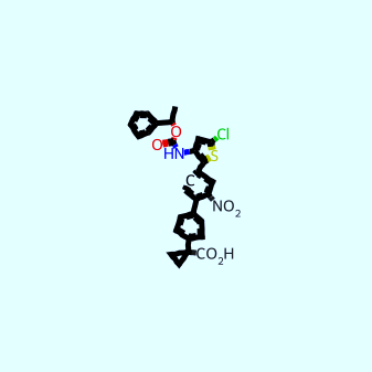 CC(OC(=O)Nc1cc(Cl)sc1-c1ccc(-c2ccc(C3(C(=O)O)CC3)cc2)c([N+](=O)[O-])c1)c1ccccc1